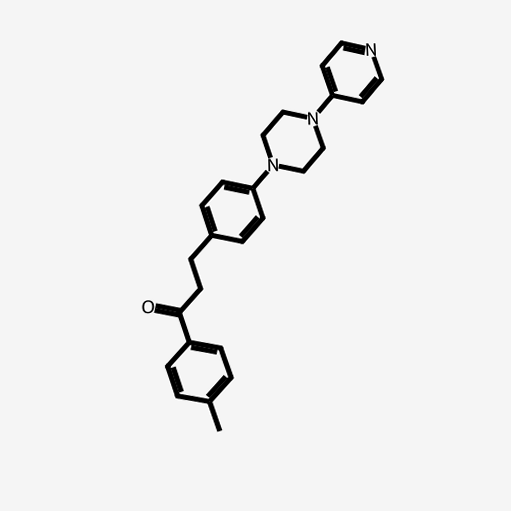 Cc1ccc(C(=O)CCc2ccc(N3CCN(c4ccncc4)CC3)cc2)cc1